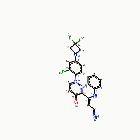 N=C/C=C(\Nc1ccccc1)c1nn(-c2ccc(N3CC(F)(F)C3)cc2F)ccc1=O